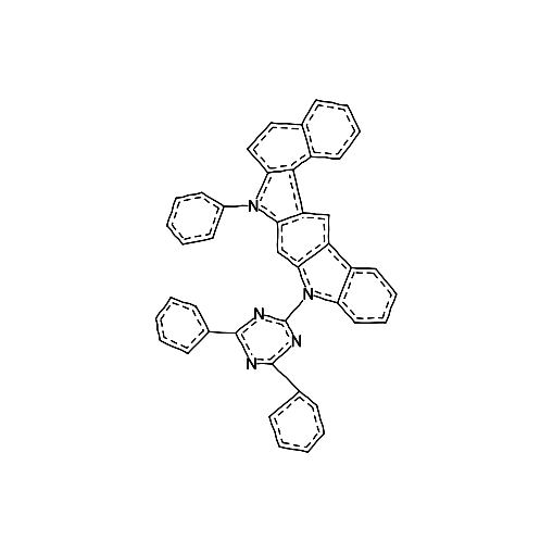 c1ccc(-c2nc(-c3ccccc3)nc(-n3c4ccccc4c4cc5c6c7ccccc7ccc6n(-c6ccccc6)c5cc43)n2)cc1